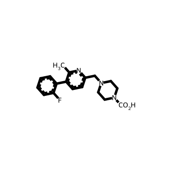 Cc1nc(CN2CCN(C(=O)O)CC2)ccc1-c1ccccc1F